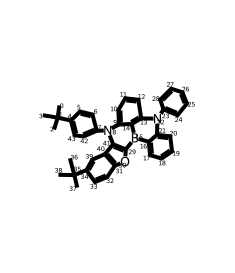 CC(C)(C)c1ccc(N2c3cccc4c3B(c3ccccc3N4c3ccccc3)c3oc4ccc(C(C)(C)C)cc4c32)cc1